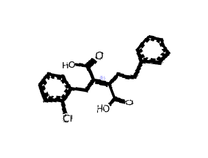 O=C(O)/C(CCc1ccccc1)=C(\Cc1ccccc1Cl)C(=O)O